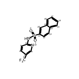 O=S(=O)(Nc1ccc(C(F)(F)F)cn1)c1ccc2ccccc2c1